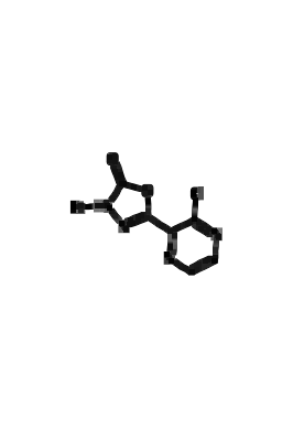 CC[SH]1N=C(c2nccnc2Cl)OC1=O